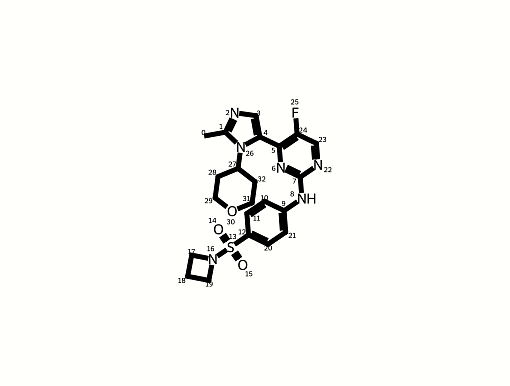 Cc1ncc(-c2nc(Nc3ccc(S(=O)(=O)N4CCC4)cc3)ncc2F)n1C1CCOCC1